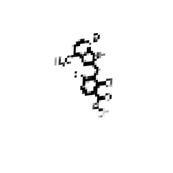 COC(=O)c1ccc(Cl)c(Cc2cc3c(C)cc[n+]([O-])c3[nH]2)c1Cl